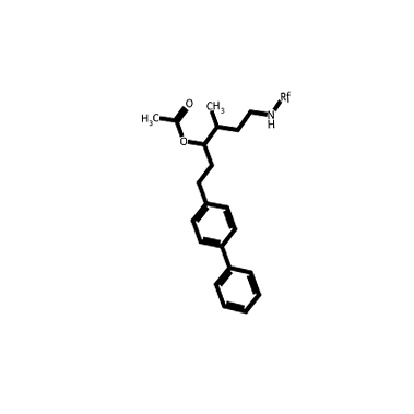 CC(=O)OC(CCc1ccc(-c2ccccc2)cc1)C(C)CC[NH][Rf]